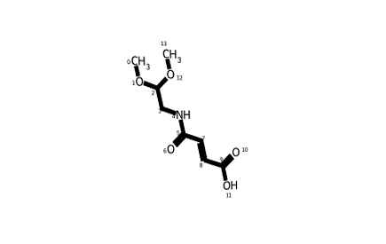 COC(CNC(=O)/C=C/C(=O)O)OC